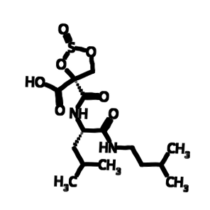 CC(C)CCNC(=O)[C@H](CC(C)C)NC(=O)[C@@]1(C(=O)O)COS(=O)O1